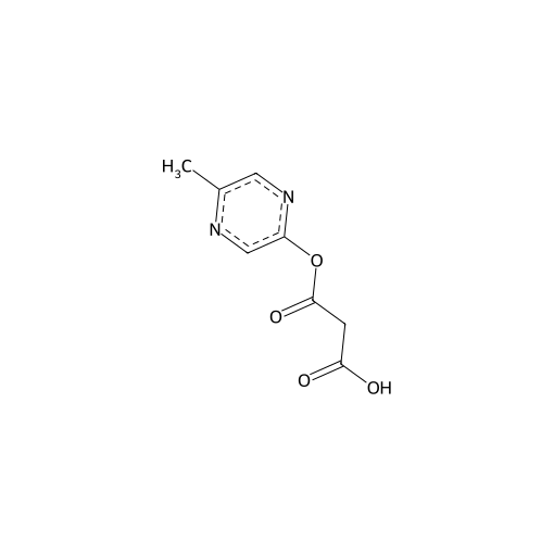 Cc1cnc(OC(=O)CC(=O)O)cn1